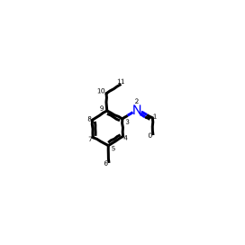 C/C=N\c1cc(C)ccc1CC